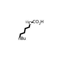 CCCCCCCC[13CH2][13C](=O)O